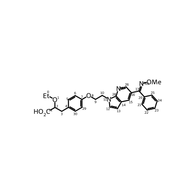 CCOC(Cc1ccc(OCCn2ccc3cc(C(=NOC)c4ccccc4)cnc32)cc1)C(=O)O